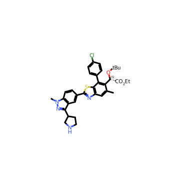 CCOC(=O)[C@@H](OC(C)(C)C)c1c(C)cc2nc(-c3ccc4c(c3)c(C3CCNC3)nn4C)sc2c1-c1ccc(Cl)cc1